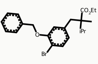 CCOC(=O)C(C)(Cc1ccc(Br)c(OCc2ccccc2)c1)C(C)C